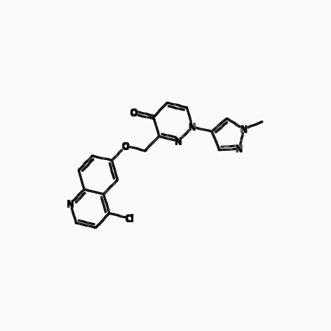 Cn1cc(-n2ccc(=O)c(COc3ccc4nccc(Cl)c4c3)n2)cn1